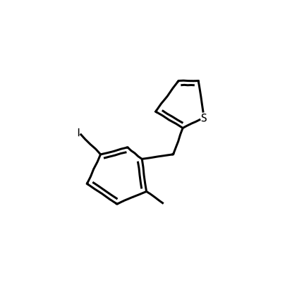 Cc1ccc(I)cc1Cc1cccs1